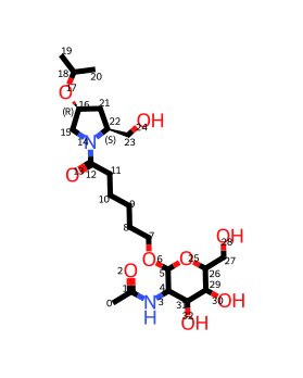 CC(=O)NC1C(OCCCCCC(=O)N2C[C@H](OC(C)C)C[C@H]2CO)OC(CO)C(O)C1O